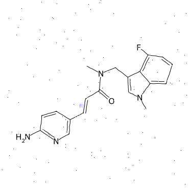 CN(Cc1cn(C)c2cccc(F)c12)C(=O)/C=C/c1ccc(N)nc1